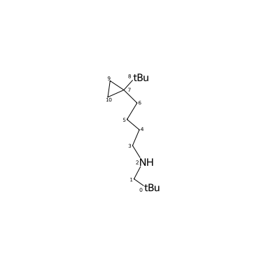 CC(C)(C)CNCCCCC1(C(C)(C)C)CC1